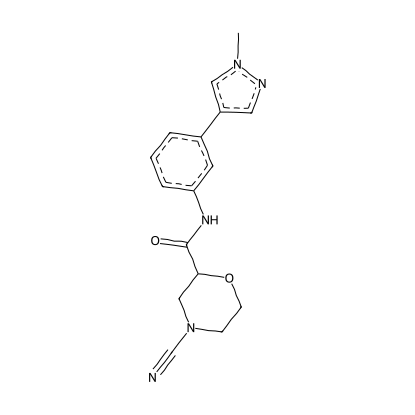 Cn1cc(-c2cccc(NC(=O)C3CN(C#N)CCO3)c2)cn1